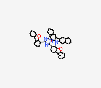 c1ccc(-c2nc(-c3ccc4c(oc5ccccc54)c3-n3c4ccccc4c4cc5ccccc5cc43)nc(-c3cccc4c3oc3ccccc34)n2)cc1